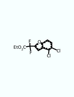 CCOC(=O)C(F)(F)c1cc2c(Cl)c(Cl)ccc2o1